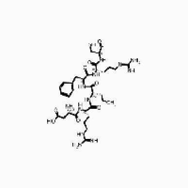 CCC[C@H](NC(=O)[C@H](CCCNC(=N)N)NC(=O)[C@@H](N)CC(=O)O)C(=O)N[C@@H](Cc1ccccc1)C(=O)N[C@@H](CCCNC(=N)N)C(=O)N[C@H]([C]=O)CS